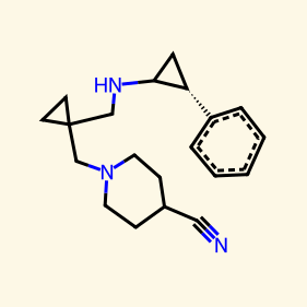 N#CC1CCN(CC2(CNC3C[C@@H]3c3ccccc3)CC2)CC1